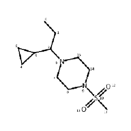 CCC(C1CC1)N1CCN(S(C)(=O)=O)CC1